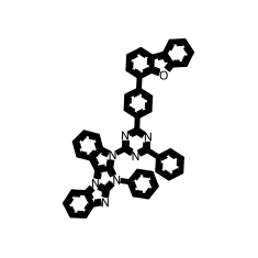 c1ccc(-c2nc(-c3ccc(-c4cccc5c4oc4ccccc45)cc3)nc(-n3c4ccccc4c4c3n(-c3ccccc3)c3nc5ccccc5n43)n2)cc1